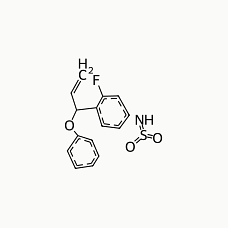 C=CC(Oc1ccccc1)c1ccccc1F.N=S(=O)=O